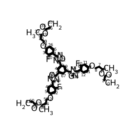 C=CC(=O)OC(C)CCOc1ccc(-c2noc(-c3cc(-c4nc(-c5ccc(OCCC(C)OC(=O)C=C)cc5F)no4)cc(-c4nc(-c5ccc(OCCC(C)OC(=O)C=C)cc5F)no4)c3)n2)c(F)c1